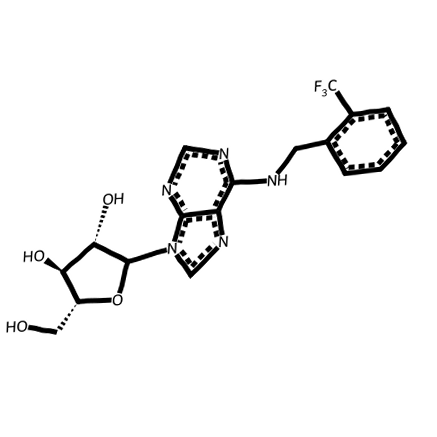 OC[C@H]1OC(n2cnc3c(NCc4ccccc4C(F)(F)F)ncnc32)[C@@H](O)[C@@H]1O